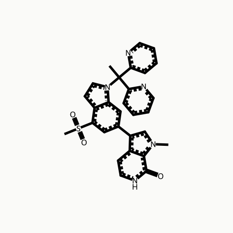 Cn1cc(-c2cc(S(C)(=O)=O)c3ccn(C(C)(c4ccccn4)c4ccccn4)c3c2)c2cc[nH]c(=O)c21